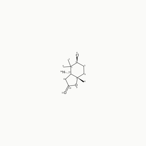 CC1(C)[C@@H](Cl)CC[C@]2(C)OC(=O)C[C@@H]12